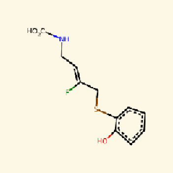 O=C(O)NCC=C(F)CSc1ccccc1O